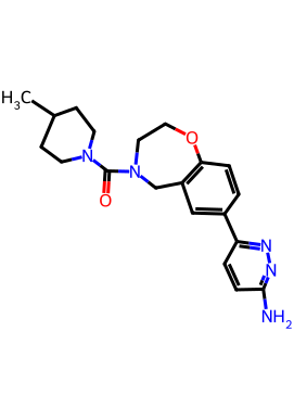 CC1CCN(C(=O)N2CCOc3ccc(-c4ccc(N)nn4)cc3C2)CC1